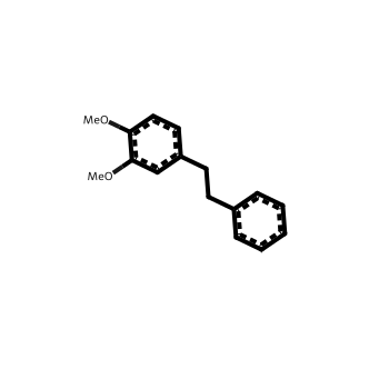 COc1ccc(CCc2c[c]ccc2)cc1OC